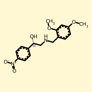 COc1ccc(CNC[C@@H](O)c2ccc([N+](=O)[O-])cc2)c(OC)c1